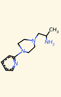 CC(N)CN1CCN(c2ccccn2)CC1